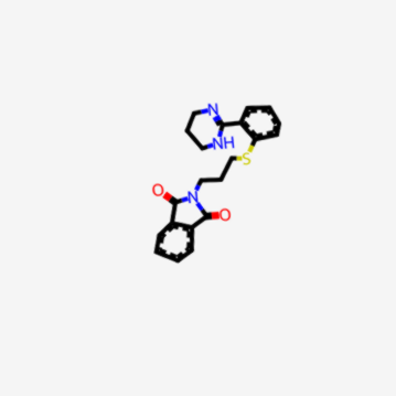 O=C1c2ccccc2C(=O)N1CCCSc1ccccc1C1=NCCCN1